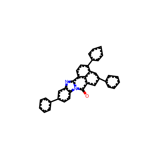 O=c1c2cc(-c3ccccc3)cc3c(-c4ccccc4)ccc(c32)c2nc3cc(-c4ccccc4)ccc3n12